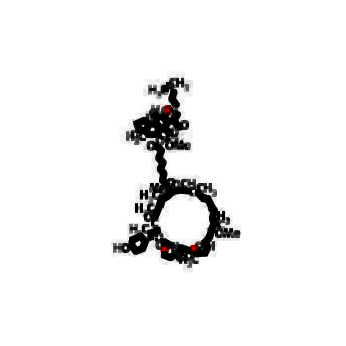 COC[C@H]1OC(=O)/C(=C/N(C)CCCN(C)C)C2=C(O)C(=O)C3=C([C@H](OC(=O)CCCCCCC(=O)O[C@@H]4/C(C)=C/[C@@H](C)C(=O)C[C@@H]([C@H](C)C[C@H]5CC[C@H](O)CC5)OC(=O)[C@@H]5CCCCN5C(=O)C(=O)[C@]5(O)O[C@@H](CC[C@H]5C)C[C@H](OC)/C(C)=C/C=C/C=C/[C@@H](C)C[C@@H](C)C(=O)[C@@H]4OC)C[C@]4(C)C(=O)CC[C@@H]34)[C@]21C